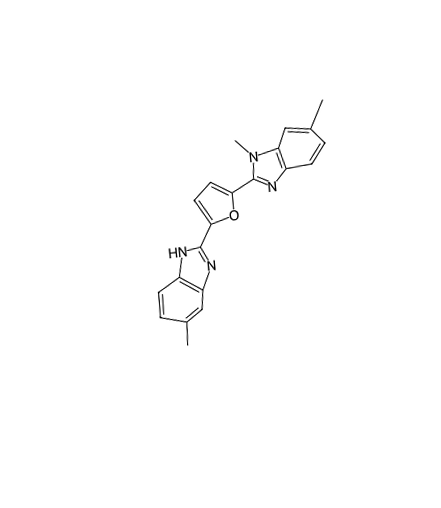 Cc1ccc2[nH]c(-c3ccc(-c4nc5ccc(C)cc5n4C)o3)nc2c1